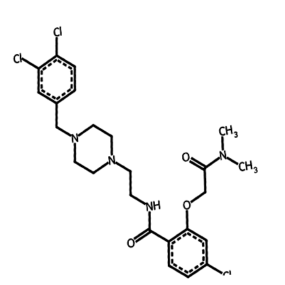 CN(C)C(=O)COc1cc(Cl)ccc1C(=O)NCCN1CCN(Cc2ccc(Cl)c(Cl)c2)CC1